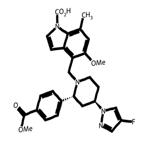 COC(=O)c1ccc([C@H]2C[C@H](n3cc(F)cn3)CCN2Cc2c(OC)cc(C)c3c2ccn3C(=O)O)cc1